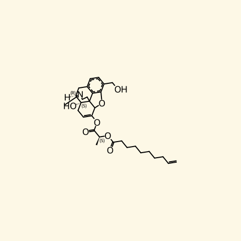 C=CCCCCCCCC(=O)O[C@@H](C)C(=O)OC1=CC[C@@]2(O)[C@H]3Cc4ccc(CO)c5c4C2(CCN3C)C1O5